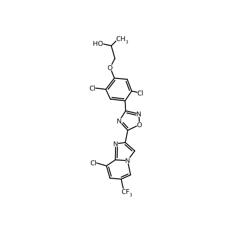 CC(O)COc1cc(Cl)c(-c2noc(-c3cn4cc(C(F)(F)F)cc(Cl)c4n3)n2)cc1Cl